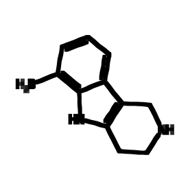 Bc1cccc2c3c([nH]c12)CCNC3